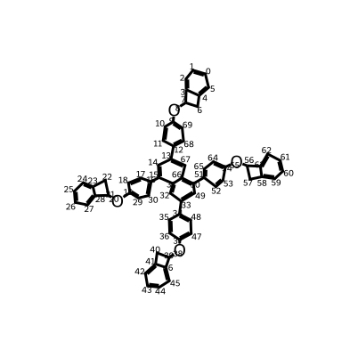 c1ccc2c(c1)CC2Oc1ccc(-c2cc(-c3ccc(OC4Cc5ccccc54)cc3)c3cc(-c4ccc(OC5Cc6ccccc65)cc4)cc(-c4ccc(OC5Cc6ccccc65)cc4)c3c2)cc1